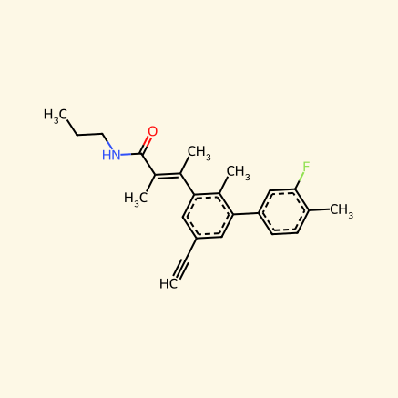 C#Cc1cc(/C(C)=C(\C)C(=O)NCCC)c(C)c(-c2ccc(C)c(F)c2)c1